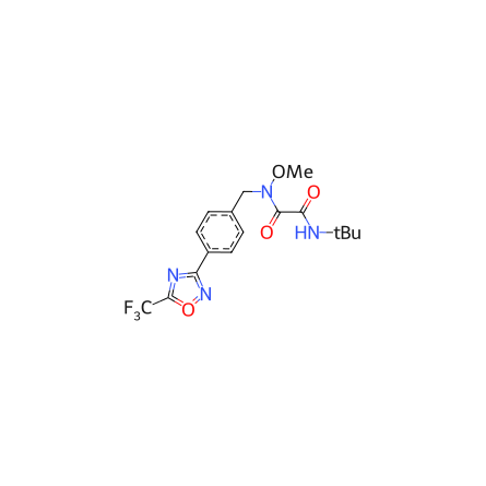 CON(Cc1ccc(-c2noc(C(F)(F)F)n2)cc1)C(=O)C(=O)NC(C)(C)C